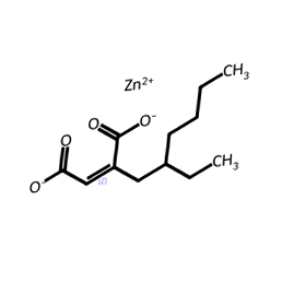 CCCCC(CC)C/C(=C/C(=O)[O-])C(=O)[O-].[Zn+2]